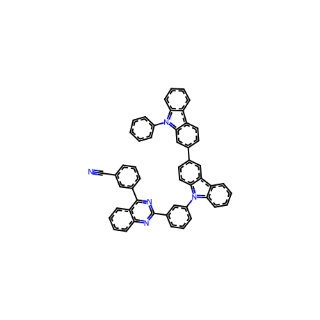 N#Cc1cccc(-c2nc(-c3cccc(-n4c5ccccc5c5cc(-c6ccc7c8ccccc8n(-c8ccccc8)c7c6)ccc54)c3)nc3ccccc23)c1